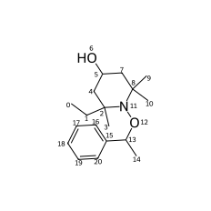 CCC1(C)CC(O)CC(C)(C)N1OC(C)c1ccccc1